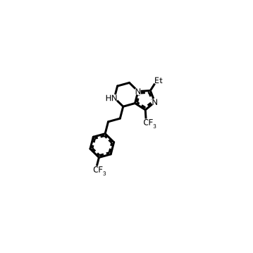 CCc1nc(C(F)(F)F)c2n1CCNC2CCc1ccc(C(F)(F)F)cc1